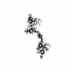 CO[C@@H](C)c1c(NC(=O)Nc2cc(C(F)(F)F)cnc2OCCN2CC3(CC(CCNc4cccc5c4N(C)C(=C=O)N5C4CCC(=C=O)NC4=C=O)C3)C2)cnc2cc(Cl)nn12